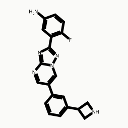 Nc1ccc(F)c(-c2nc3ncc(-c4cccc(C5CNC5)c4)cn3n2)c1